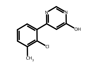 Cc1cccc(-c2cc(O)ncn2)c1Cl